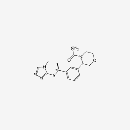 C[C@H](Sc1nncn1C)c1cccc(C2COCCN2C(N)=O)c1